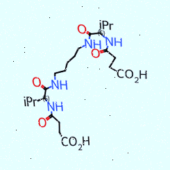 CC(C)[C@H](NC(=O)CCC(=O)O)C(=O)NCCCCCNC(=O)[C@@H](NC(=O)CCC(=O)O)C(C)C